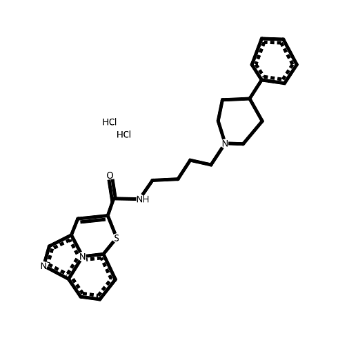 Cl.Cl.O=C(NCCCCN1CCC(c2ccccc2)CC1)C1=Cc2cnc3cccc(n23)S1